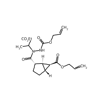 C=CCOC(=O)NN(C(=O)[C@H]1CC[C@H]2[C@H](C(=O)OCC=C)[C@@H]21)C(C)C(=O)OCC